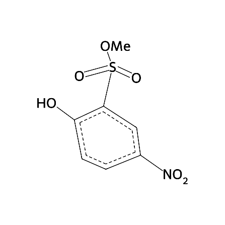 COS(=O)(=O)c1cc([N+](=O)[O-])ccc1O